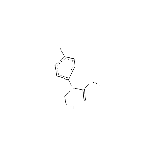 CC(C)(C)OC(=O)N(CC(=O)O)c1ccc(Br)cc1